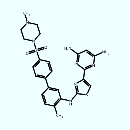 Cc1ccc(-c2ccc(S(=O)(=O)N3CCN(C)CC3)cc2)cc1Nc1nc(-c2nc(N)cc(N)n2)cs1